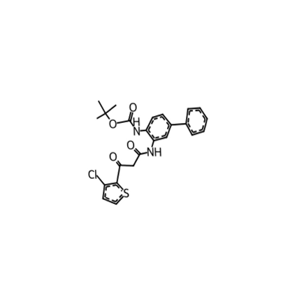 CC(C)(C)OC(=O)Nc1ccc(-c2ccccc2)cc1NC(=O)CC(=O)c1sccc1Cl